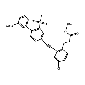 COc1cccc(-c2ccc(C#Cc3cc(Cl)ccc3OCC(=O)OC(C)(C)C)cc2S(C)(=O)=O)c1